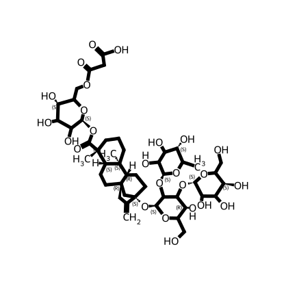 C=C1C[C@@]23CC[C@H]4[C@@](C)(CCC[C@@]4(C)C(=O)O[C@@H]4OC(COC(=O)CC(=O)O)[C@@H](O)C(O)C4O)[C@@H]2CC[C@]1(O[C@@H]1OC(CO)[C@@H](O)C(O[C@@H]2OC(CO)[C@@H](O)C(O)C2O)C1O[C@@H]1OC(C)[C@@H](O)C(O)C1O)C3